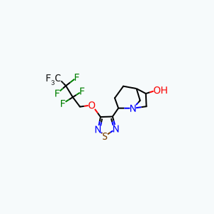 OC1CN2CC1CCC2c1nsnc1OCC(F)(F)C(F)(F)C(F)(F)F